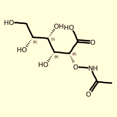 CC(=O)NO[C@@H](C(=O)O)[C@H](O)[C@@H](O)[C@H](O)CO